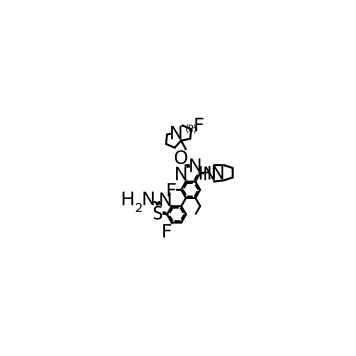 CCc1cc2c(N3CC4CCC(C3)N4)nc(OCC34CCCN3C[C@H](F)C4)nc2c(F)c1-c1ccc(F)c2sc(N)nc12